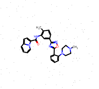 Cc1ccc(-c2noc(-c3ccccc3N3CCN(C)CC3)n2)cc1NC(=O)c1ccc2ccccn12